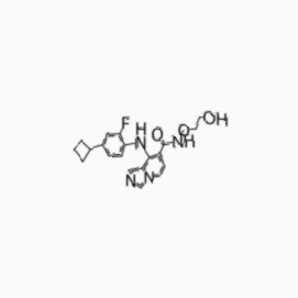 O=C(NOCCO)c1ccn2cncc2c1Nc1ccc(C2CCC2)cc1F